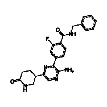 Nc1ncc(C2CCC(=O)NC2)nc1-c1ccc(C(=O)NCc2ccccc2)c(F)c1